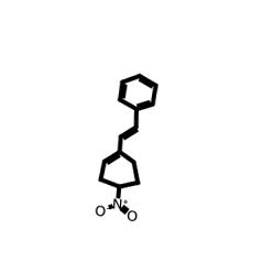 O=[N+]([O-])C1CC=C(C=Cc2ccccc2)CC1